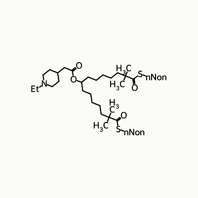 CCCCCCCCCSC(=O)C(C)(C)CCCCCC(CCCCCC(C)(C)C(=O)SCCCCCCCCC)OC(=O)CC1CCN(CC)CC1